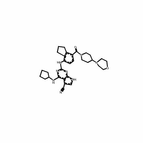 N#Cc1c[nH]c2nc(Nc3ccc(C(=O)N4CCC(N5CCOCC5)CC4)c4c3CCC4)nc(NC3CCCC3)c12